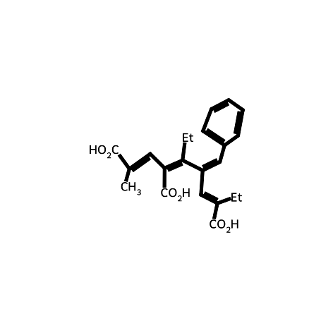 CCC(=CC(=Cc1ccccc1)C(CC)=C(C=C(C)C(=O)O)C(=O)O)C(=O)O